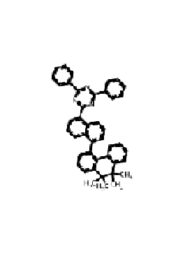 CC1(C)c2ccccc2-c2c(-c3cccc4c(-c5nc(-c6ccccc6)nc(-c6ccccc6)n5)cccc34)cccc2C1(C)C